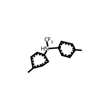 Cc1ccc([SiH](c2ccc(C)cc2)C(F)(F)F)cc1